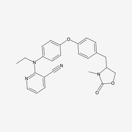 CCN(c1ccc(Oc2ccc(CC3COC(=O)N3C)cc2)cc1)c1ncccc1C#N